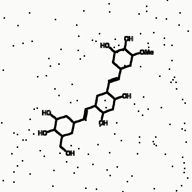 COC1CC(/C=C/C2CC(/C=C/C3CC(O)C(O)C(CO)C3)C(O)CC2O)CC(O)C1O